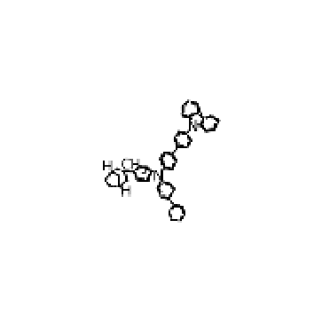 CC1(c2ccc(N(c3ccc(-c4ccccc4)cc3)c3ccc(-c4ccc(-n5c6ccccc6c6ccccc65)cc4)cc3)cc2)C[C@@H]2CC[C@H](C2)C1